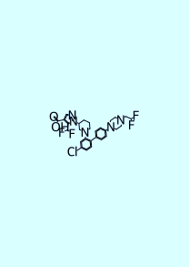 O=C(O)c1cnn(C2CCCN(c3cc(Cl)ccc3-c3ccc(N4CCN(CC(F)F)CC4)cc3)C2)c1C(F)F